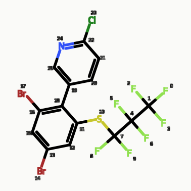 FC(F)(F)C(F)(F)C(F)(F)Sc1cc(Br)[c]c(Br)c1-c1ccc(Cl)nc1